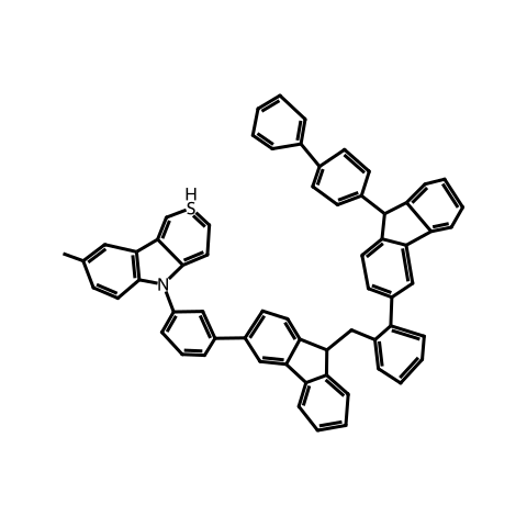 Cc1ccc2c(c1)c1c(n2-c2cccc(-c3ccc4c(c3)-c3ccccc3C4Cc3ccccc3-c3ccc4c(c3)-c3ccccc3C4c3ccc(-c4ccccc4)cc3)c2)=CC=[SH]C=1